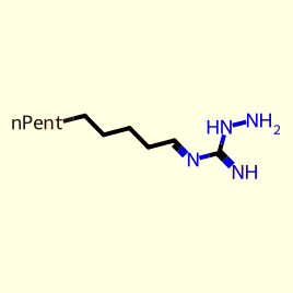 CCCCCCCCCC=NC(=N)NN